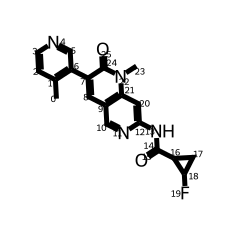 Cc1ccncc1-c1cc2cnc(NC(=O)C3CC3F)cc2n(C)c1=O